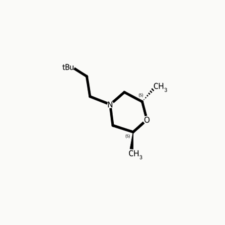 C[C@H]1CN(CCC(C)(C)C)C[C@H](C)O1